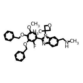 CNCc1ccc2nc(-c3cc(OC)c(OCc4ccccc4)c(OCc4ccccc4)c3F)n(C3(C)COC3)c2c1